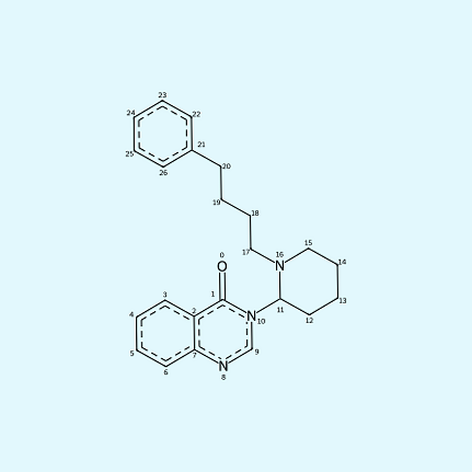 O=c1c2ccccc2ncn1C1CCCCN1CCCCc1ccccc1